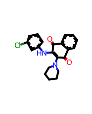 O=C1C(Nc2cccc(Cl)c2)=C(N2CCCCC2)C(=O)c2ccccc21